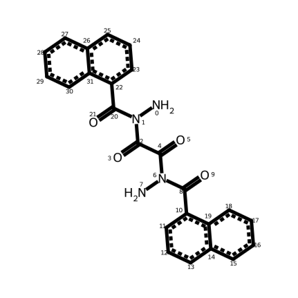 NN(C(=O)C(=O)N(N)C(=O)c1cccc2ccccc12)C(=O)c1cccc2ccccc12